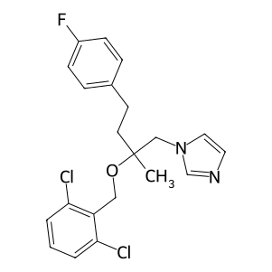 CC(CCc1ccc(F)cc1)(Cn1ccnc1)OCc1c(Cl)cccc1Cl